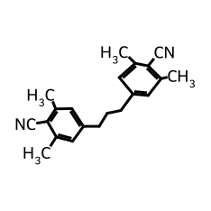 Cc1cc(CCCc2cc(C)c(C#N)c(C)c2)cc(C)c1C#N